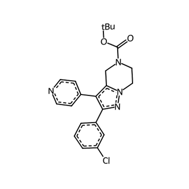 CC(C)(C)OC(=O)N1CCn2nc(-c3cccc(Cl)c3)c(-c3ccncc3)c2C1